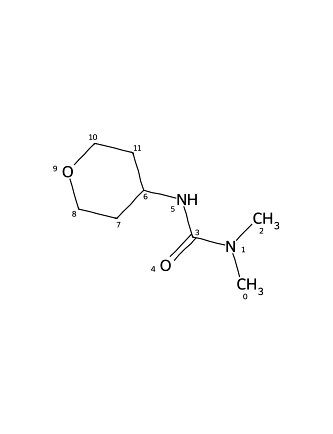 CN(C)C(=O)NC1CCOCC1